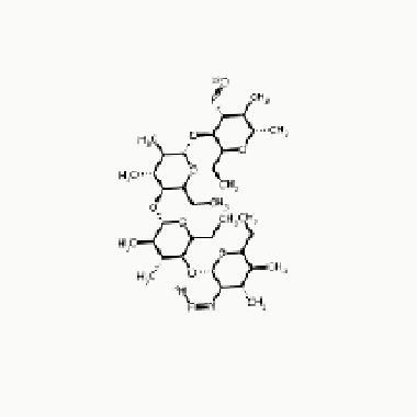 [4H]/P=N\C1[C@H](O[C@@H]2C(CC)O[C@@H](O[C@@H]3C(CC)O[C@@H](O[C@@H]4C(CC)O[C@@H](C)C(C)[C@H]4P=[12O])C(C)[C@H]3C)C(C)[C@H]2C)OC(CC)[C@@H](C)[C@@H]1C